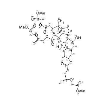 COC(=O)COC(=O)CCC(=O)OC1CCC2(C)C(C1)CC(O)C1C2CC(OC(=O)CCC(=O)OCC(=O)OC)C2(C)C(C(C)CCC(=O)OCC(=O)OC)CCC12